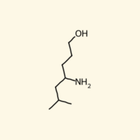 CC(C)CC(N)CCCO